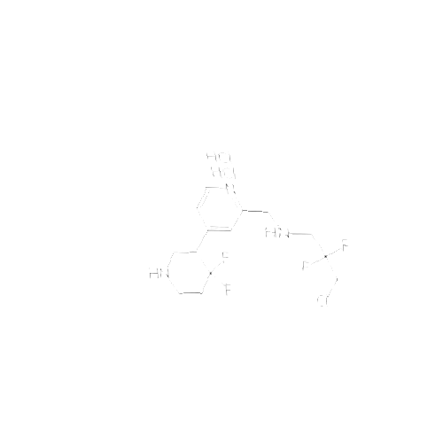 Cl.Cl.FC(F)(CCl)CNCc1cc(C2CNCCC2(F)F)ccn1